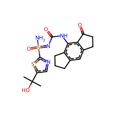 CC(C)(O)c1cnc(S(N)(=O)=NC(=O)Nc2c3c(cc4c2C(=O)CC4)CCC3)s1